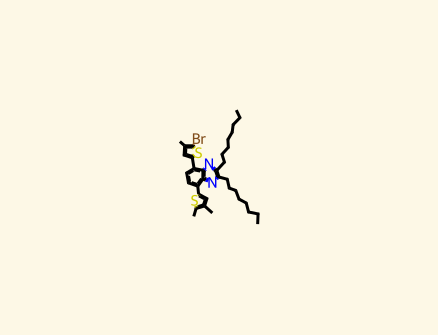 CCCCCCCCc1nc2c(-c3cc(C)c(C)s3)ccc(-c3cc(C)c(Br)s3)c2nc1CCCCCCCC